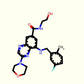 Cc1ccc(F)cc1CNc1cc(C(=O)NCCO)cc2ncc(N3CCOCC3)nc12